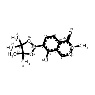 Cn1ncc2c(Cl)c(B3OC(C)(C)C(C)(C)O3)ccc2c1=O